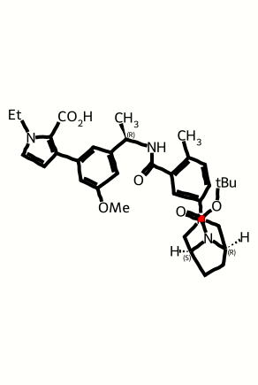 CCn1ccc(-c2cc(OC)cc([C@@H](C)NC(=O)c3cc(N4C[C@H]5CC[C@@H](C4)N5C(=O)OC(C)(C)C)ccc3C)c2)c1C(=O)O